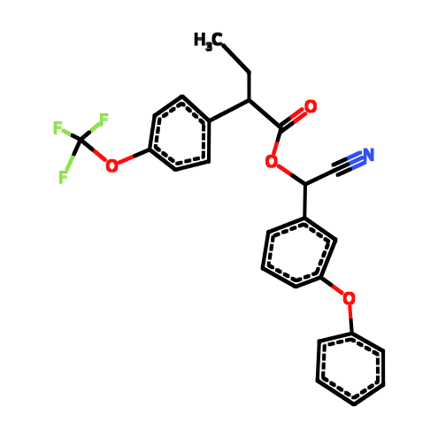 CCC(C(=O)OC(C#N)c1cccc(Oc2ccccc2)c1)c1ccc(OC(F)(F)F)cc1